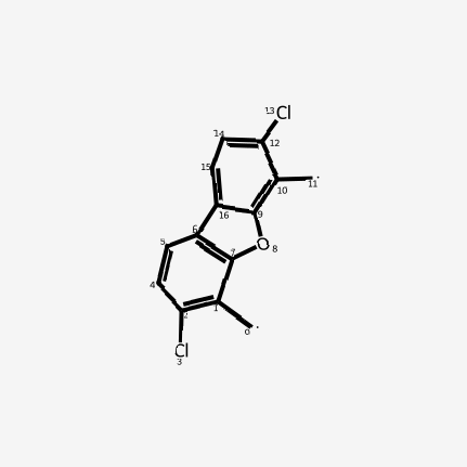 [CH2]c1c(Cl)ccc2c1oc1c([CH2])c(Cl)ccc12